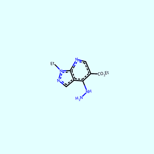 CCOC(=O)c1cnc2c(cnn2CC)c1NN